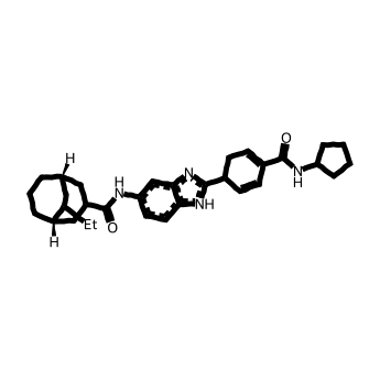 CCC1C[C@@H]2CCC[C@H]1CC(C(=O)Nc1ccc3[nH]c(C4C=CC(C(=O)NC5CCCC5)=CC4)nc3c1)C2